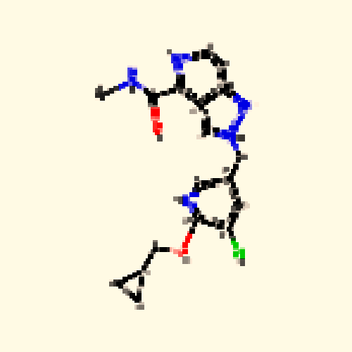 CC(C)NC(=O)c1nccc2nn(Cc3cnc(OCC4CC4)c(Cl)c3)cc12